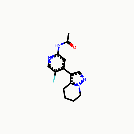 CC(=O)Nc1cc(-c2cnn3c2CCCC3)c(F)cn1